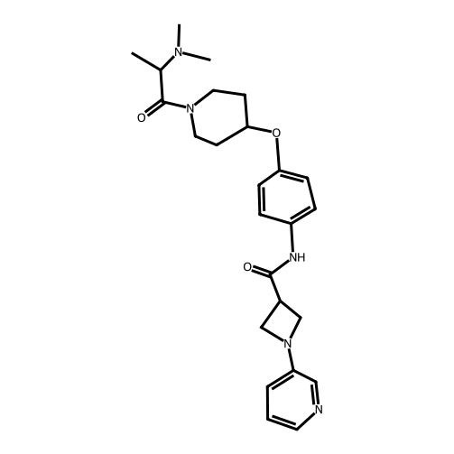 CC(C(=O)N1CCC(Oc2ccc(NC(=O)C3CN(c4cccnc4)C3)cc2)CC1)N(C)C